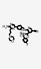 C[C@H](NC(=O)c1cc(C#N)cnc1NCc1ccc(-c2cnc(N)c(CCCN3CCOCC3)n2)cc1)c1ccc(F)cc1